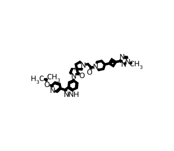 CC(C)Oc1ccc(-c2n[nH]c3ccc(N4CC[C@]5(CCN(CC(=O)N6CCC(C78CC(c9ncn(C)n9)(C7)C8)CC6)C5)C4=O)cc23)cn1